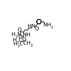 CC(C)(C)OC(=O)NC(CCCCNC(=O)c1cccc(CN)c1)C(N)=O